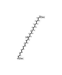 CCCCCCCCCCCCCCCCCCOCCCNCCCOCCCCCCCCCCCCCCCCCC